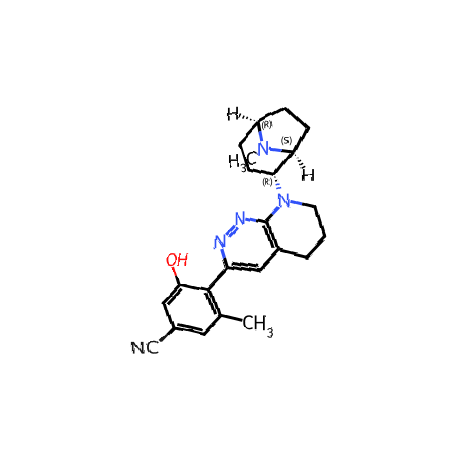 Cc1cc(C#N)cc(O)c1-c1cc2c(nn1)N([C@@H]1CC[C@H]3CC[C@@H]1N3C)CCC2